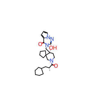 C[C@H](CC1CCCCC1)C(=O)N1CC[C@](O)(Cn2cnn3cccc3c2=O)C2(CCCC2)C1